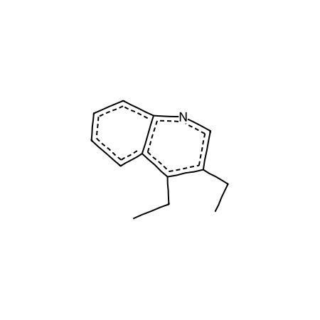 CCc1cnc2ccccc2c1CC